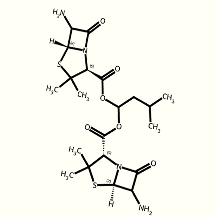 CC(C)CC(OC(=O)[C@@H]1N2C(=O)C(N)[C@H]2SC1(C)C)OC(=O)[C@@H]1N2C(=O)C(N)[C@H]2SC1(C)C